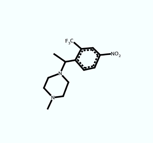 CC(c1ccc([N+](=O)[O-])cc1C(F)(F)F)N1CCN(C)CC1